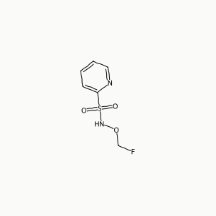 O=S(=O)(NOCF)c1ccccn1